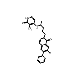 CC(CCCn1ccc2cc(-c3ccccn3)c(F)cc2c1=O)Nc1cn[nH]c(=O)c1C(F)(F)F